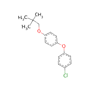 CC(C)(C)COc1ccc(Oc2ccc(Cl)cc2)cc1